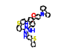 C1=c2sc3ccc(-c4ccc5c(c4)oc4cc(-n6c7ccccc7c7ccccc76)ccc45)cc3c2=C(C2NC(c3ccccc3)NC(c3ccc4c(c3)sc3ccccc34)N2)CC1